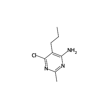 CCCc1c(N)nc(C)nc1Cl